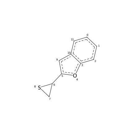 c1ccc2oc(C3CS3)cc2c1